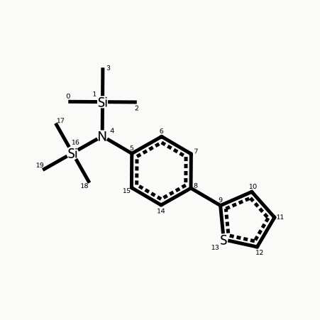 C[Si](C)(C)N(c1ccc(-c2cccs2)cc1)[Si](C)(C)C